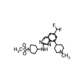 CN1CCC(c2cc(C(F)F)cc3cnc(NC4CCN(S(C)(=O)=O)CC4)nc23)CC1